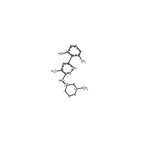 Cc1cc(-c2c(C)cccc2O)nnc1N[C@@H]1CCCN(C)C1